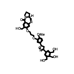 COc1ccc(C2CC(c3cc(CO)c(CO)c(CO)c3)=NO2)cc1OCCCOc1cc2c(cc1CO)C(=O)N1CCC[C@H]1C=N2